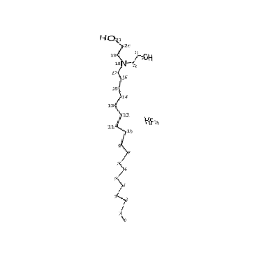 CCCCCCCCCCCCCCCCCCN(CCO)CCO.F